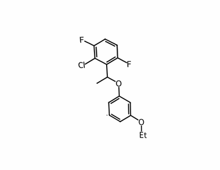 CCOc1c[c]cc(OC(C)c2c(F)ccc(F)c2Cl)c1